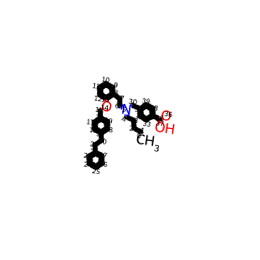 CCCCCN(CCc1ccccc1OCc1ccc(CCc2ccccc2)cc1)Cc1ccc(C(=O)O)cc1